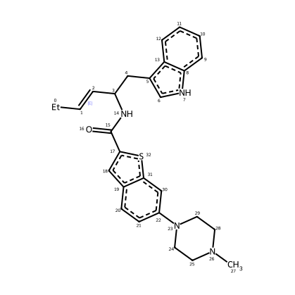 CC/C=C/C(Cc1c[nH]c2ccccc12)NC(=O)c1cc2ccc(N3CCN(C)CC3)cc2s1